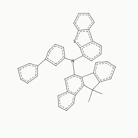 CC1(C)c2ccccc2-c2c(N(c3cccc(-c4ccccc4)c3)c3cccc4c3sc3ccccc34)cc3ccccc3c21